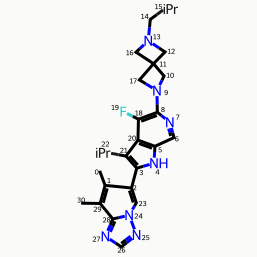 Cc1c(-c2[nH]c3cnc(N4CC5(CN(CC(C)C)C5)C4)c(F)c3c2C(C)C)cn2ncnc2c1C